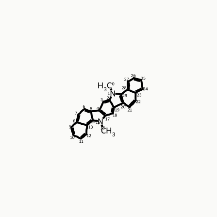 Cn1c2cc3c4ccc5ccccc5c4n(C)c3cc2c2ccc3ccccc3c21